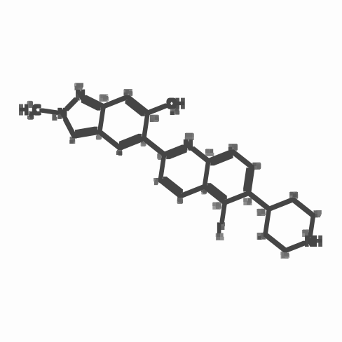 Cn1cc2cc(-c3ccc4c(F)c(C5CCNCC5)ccc4n3)c(O)cc2n1